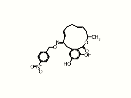 CC1C/C=C/CC/C=C/C(=NOCc2ccc([N+](=O)[O-])cc2)Cc2cc(O)cc(O)c2C(=O)O1